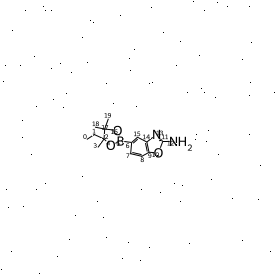 CCC1(C)OB(c2ccc3oc(N)nc3c2)OC1(C)C